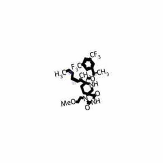 C=C(/C=C\C=C/C)[C@]1(CO[C@H](C)c2cc(C(F)(F)F)cc(C(F)(F)F)c2)CCC2(CN1)C(=O)NC(=O)N2CCOC